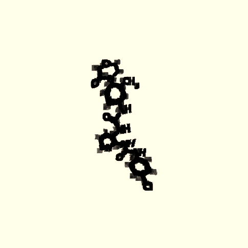 Cc1cc(NC(=O)Nc2cccnc2NC(=O)Nc2ccc(Cl)cc2)ccc1N1CCOCC1=O